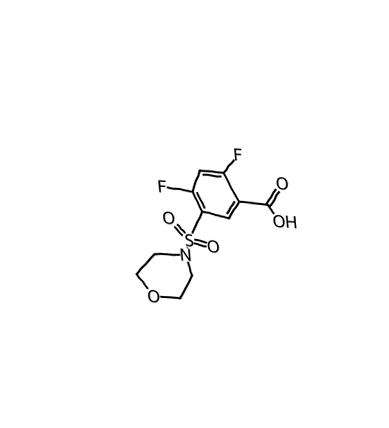 O=C(O)c1cc(S(=O)(=O)N2CCOCC2)c(F)cc1F